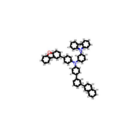 c1cc(-c2ccc(N(c3ccc(-c4ccc5oc6ccccc6c5c4)cc3)c3cccc(-n4c5ccccc5c5ccccc54)c3)cc2)cc(-c2ccc3ccccc3c2)c1